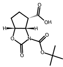 CC(C)(C)OC(=O)N1C(=O)O[C@@H]2CC[C@H](C(=O)O)[C@@H]21